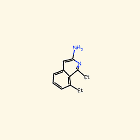 CCc1cccc2cc(N)nc(CC)c12